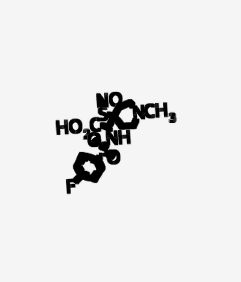 CN1CCC(SN=O)(C(NS(=O)(=O)c2ccc(F)cc2)C(=O)O)CC1